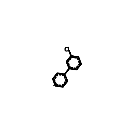 Clc1cccc(-c2cc[c]cc2)c1